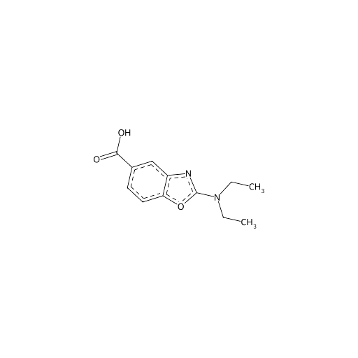 CCN(CC)c1nc2cc(C(=O)O)ccc2o1